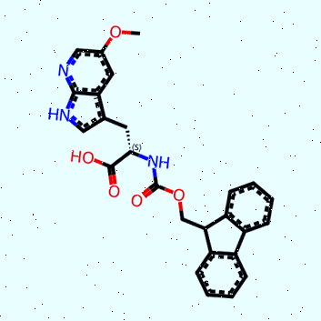 COc1cnc2[nH]cc(C[C@H](NC(=O)OCC3c4ccccc4-c4ccccc43)C(=O)O)c2c1